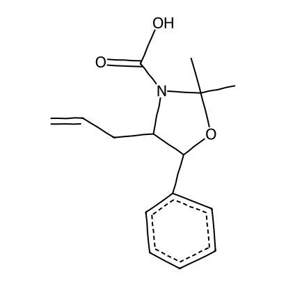 C=CCC1C(c2ccccc2)OC(C)(C)N1C(=O)O